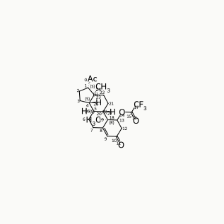 CC(=O)[C@H]1CC[C@H]2[C@@H]3CCC4=CC(=O)CC(OC(=O)C(F)(F)F)[C@]4(C)[C@H]3CC[C@]12C